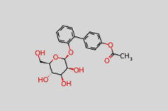 CC(=O)Oc1ccc(-c2ccccc2O[C@@H]2O[C@H](CO)[C@@H](O)[C@H](O)[C@@H]2O)cc1